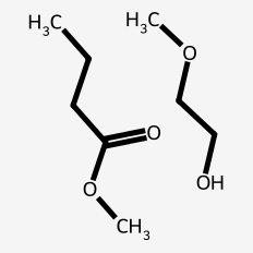 CCCC(=O)OC.COCCO